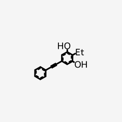 CCc1c(O)cc(C#Cc2ccccc2)cc1O